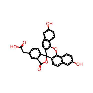 O=C(O)Cc1ccc2c(c1)C(=O)OC21c2ccc3cc(O)ccc3c2Oc2c1ccc1cc(O)ccc21